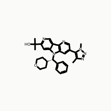 Cc1nnn(C)c1-c1cnc2c3cnc(C(C)(C)O)cc3n([C@H](c3ccccc3)C3CCOCC3)c2c1